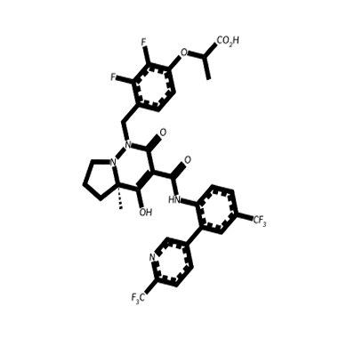 CC(Oc1ccc(CN2C(=O)C(C(=O)Nc3ccc(C(F)(F)F)cc3-c3ccc(C(F)(F)F)nc3)=C(O)[C@@]3(C)CCCN23)c(F)c1F)C(=O)O